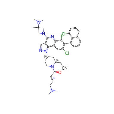 CN(C)C/C=C/C(=O)N1CC[C@H](n2ncc3c(N4CC(C)(N(C)C)C4)nc4c(F)c(-c5cccc6cccc(Cl)c56)c(Cl)cc4c32)C[C@H]1CC#N